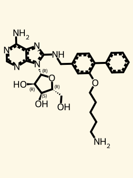 NCCCCCOc1cc(CNc2nc3c(N)ncnc3n2[C@@H]2O[C@H](CO)[C@@H](O)[C@H]2O)ccc1-c1ccccc1